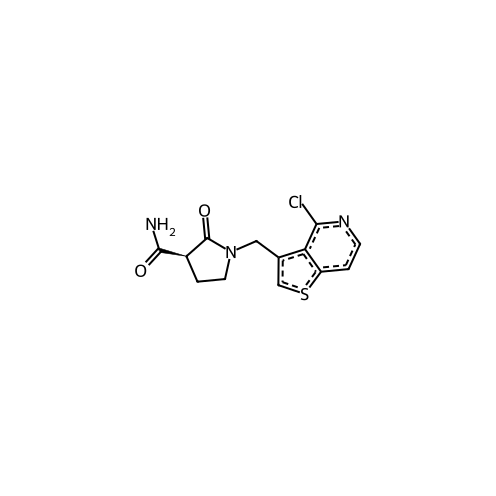 NC(=O)[C@@H]1CCN(Cc2csc3ccnc(Cl)c23)C1=O